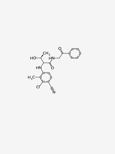 Cc1c(NC(C(=O)NCC(=O)c2ccccc2)[C@H](C)O)ccc(C#N)c1Cl